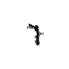 CC(C)CC(O)COc1cccc2cc(OCC(O)COC(=O)COCC(=O)OC(C)(C)C)ccc12